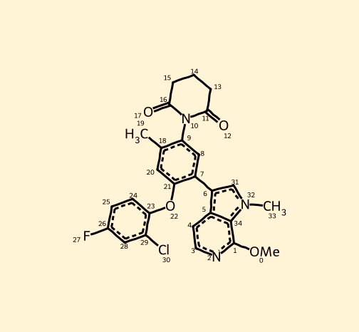 COc1nccc2c(-c3cc(N4C(=O)CCCC4=O)c(C)cc3Oc3ccc(F)cc3Cl)cn(C)c12